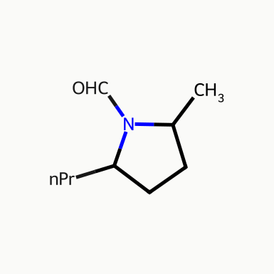 CCCC1CCC(C)N1C=O